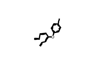 C=C/C=C\C(=C/C=C)Oc1ccc(C)cc1